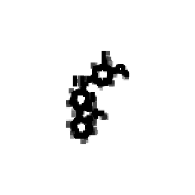 COc1ccc(Nc2ccc3c4cnccc4n(C)c3n2)cc1F